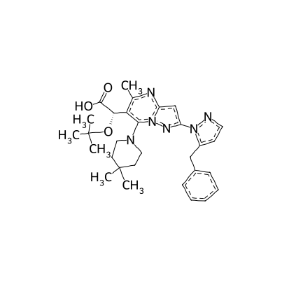 Cc1nc2cc(-n3nccc3Cc3ccccc3)nn2c(N2CCC(C)(C)CC2)c1[C@H](OC(C)(C)C)C(=O)O